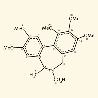 COc1cc2c(cc1OC)C(C)N(C(=O)O)Cc1cc(OC)c(OC)c(OC)c1-2